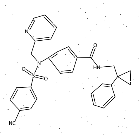 N#Cc1ccc(S(=O)(=O)N(Cc2ccccn2)c2ccc(C(=O)NCC3(c4ccccc4)CC3)cc2)cc1